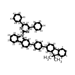 CC1(C)c2ccccc2-c2ccc(-c3ccc(-c4ccc5c6ccccc6n(-c6nc(-c7ccccc7)cc(-c7ccccc7)n6)c5c4)cc3)cc21